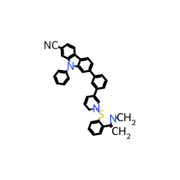 C=NC(=C)c1ccccc1SN1C=C(c2cccc(-c3ccc4c5ccc(C#N)cc5n(-c5ccccc5)c4c3)c2)C=CC1